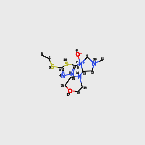 CCSc1nnc([N+]2([O-])CN(C)CC2N2CCOCC2)s1